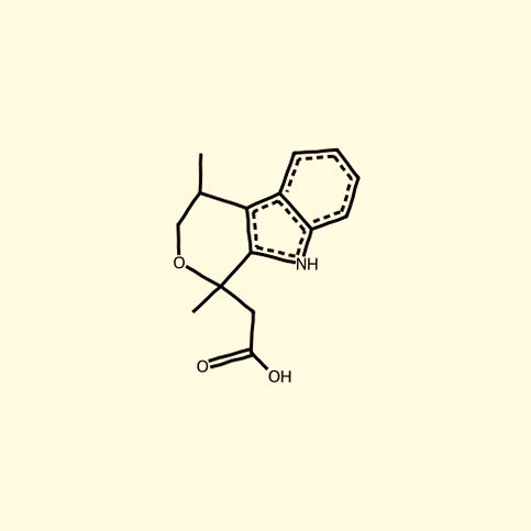 CC1COC(C)(CC(=O)O)c2[nH]c3ccccc3c21